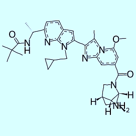 COc1cc(C(=O)N2C[C@H]3C[C@H](C)[C@@H]2[C@@H]3N)cc2nc(-c3cc4ccc([C@@H](C)NC(=O)C(C)(C)C)nc4n3CC3CC3)c(C)n12